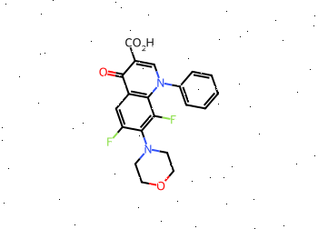 O=C(O)c1cn(-c2ccccc2)c2c(F)c(N3CCOCC3)c(F)cc2c1=O